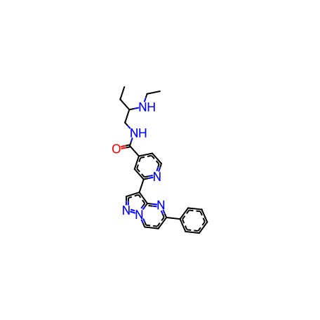 CCNC(CC)CNC(=O)c1ccnc(-c2cnn3ccc(-c4ccccc4)nc23)c1